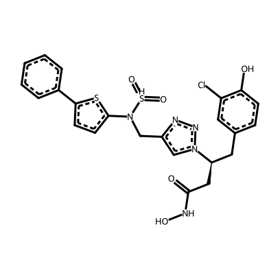 O=C(C[C@H](Cc1ccc(O)c(Cl)c1)n1cc(CN(c2ccc(-c3ccccc3)s2)[SH](=O)=O)nn1)NO